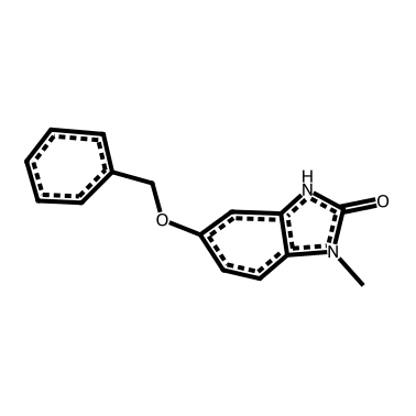 Cn1c(=O)[nH]c2cc(OCc3ccccc3)ccc21